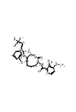 COc1ccnc(C(=O)N[C@H]2CCC[C@H](Oc3ccccc3)[C@@H](OC/C=C/C(F)(F)F)[C@H](C)OC2=O)c1O